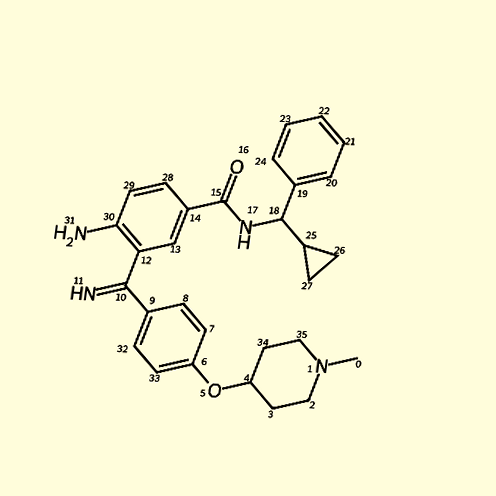 CN1CCC(Oc2ccc(C(=N)c3cc(C(=O)NC(c4ccccc4)C4CC4)ccc3N)cc2)CC1